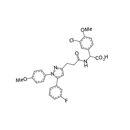 COc1ccc(-n2nc(CCC(=O)NC(C(=O)O)c3ccc(OC)c(Cl)c3)cc2-c2cccc(F)c2)cc1